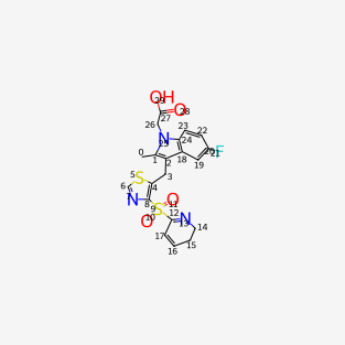 Cc1c(Cc2scnc2S(=O)(=O)C2=NCCC=C2)c2cc(F)ccc2n1CC(=O)O